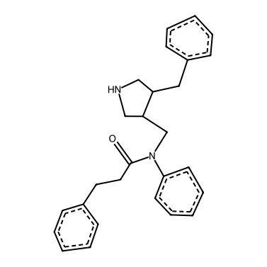 O=C(CCc1ccccc1)N(CC1CNCC1Cc1ccccc1)c1ccccc1